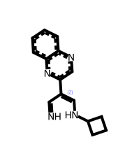 N=C/C(=C\NC1CCC1)c1cnc2ccccc2n1